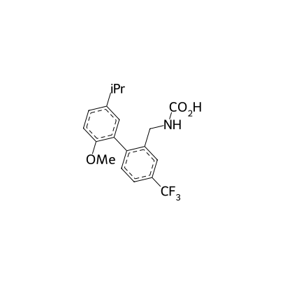 COc1ccc(C(C)C)cc1-c1ccc(C(F)(F)F)cc1CNC(=O)O